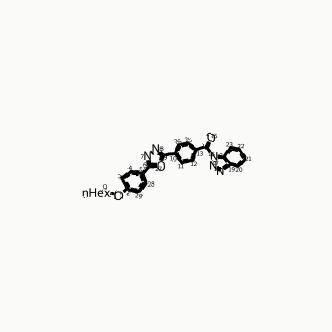 CCCCCCOc1ccc(-c2nnc(-c3ccc(C(=O)n4nnc5ccccc54)cc3)o2)cc1